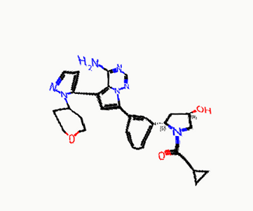 Nc1ncnn2c(-c3cccc([C@@H]4C[C@@H](O)CN4C(=O)C4CC4)c3)cc(-c3ccnn3C3CCOCC3)c12